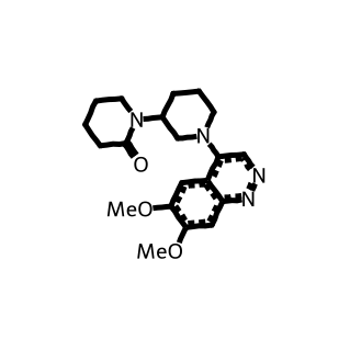 COc1cc2nncc(N3CCCC(N4CCCCC4=O)C3)c2cc1OC